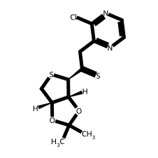 CC1(C)O[C@@H]2[C@@H](CS[C@H]2C(=S)Cc2nccnc2Cl)O1